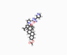 C=C(C)C1CCC2(C(=O)N3CCC[C@@H]3c3nc(-c4cccnc4)no3)C1(C)C1CCC3C4CCC(OC(C)=O)CC4CCC3C1C(C)(C)C2(C)C